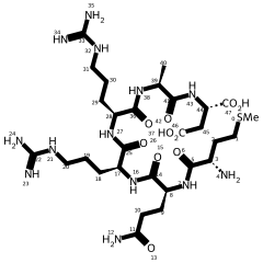 CSCC[C@H](N)C(=O)N[C@@H](CCC(N)=O)C(=O)N[C@@H](CCCNC(=N)N)C(=O)N[C@@H](CCCNC(=N)N)C(=O)N[C@@H](C)C(=O)N[C@@H](CC(=O)O)C(=O)O